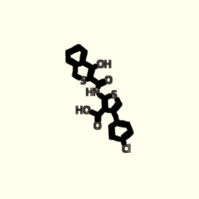 O=C(Nc1scc(-c2ccc(Cl)cc2)c1C(=O)O)C1=C(O)c2ccccc2CS1